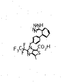 Cc1sc(C(=O)O)c2c1nc(C(F)(F)C(F)(F)F)n2Cc1ccc(-c2ccccc2-c2nnn[nH]2)cc1